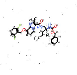 Cc1nc2c(OCc3c(F)cccc3F)cccn2c1C(=O)NCC(C)(CCC(F)(F)F)NC(=O)OCc1ccccc1